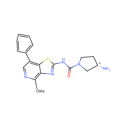 COc1ncc(-c2ccccc2)c2sc(NC(=O)N3CC[C@H](N)C3)nc12